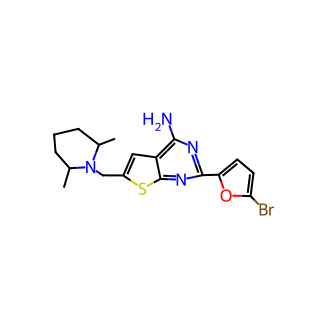 CC1CCCC(C)N1Cc1cc2c(N)nc(-c3ccc(Br)o3)nc2s1